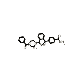 C[C@@H]1CN(C(=O)c2ccccc2)CCN1c1nnc(-c2ccc(C(N)=O)cc2)c2ccccc12